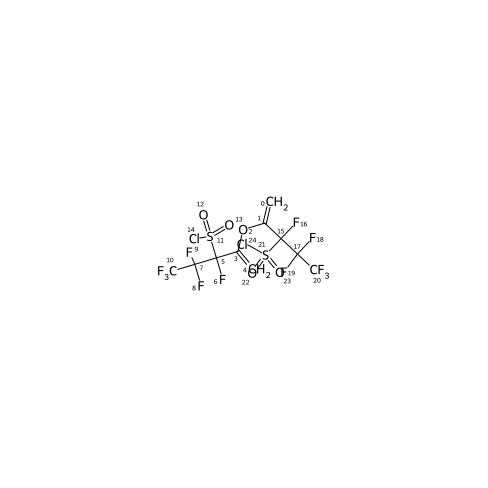 C=C(OC(=C)C(F)(C(F)(F)C(F)(F)F)S(=O)(=O)Cl)C(F)(C(F)(F)C(F)(F)F)S(=O)(=O)Cl